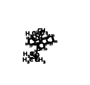 C[C](C)=[Zr]([Cl])([Cl])([CH]1C=C(OCO[Si](C)(C)C)c2ccccc21)[CH]1c2ccccc2-c2ccccc21